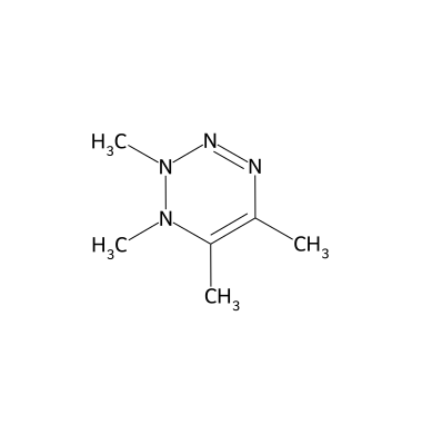 CC1=C(C)N(C)N(C)N=N1